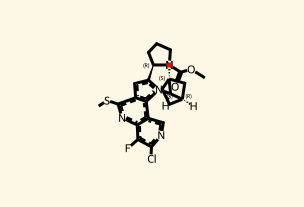 COC(=O)N1CCC[C@@H]1c1cc2c(SC)nc3c(F)c(Cl)ncc3c2n1[C@@H]1[C@@H]2CC[C@H]1C2